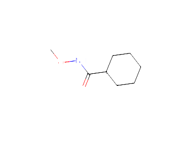 CONC(=O)[C]1CCCCC1